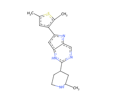 Cc1cc(-c2cc3[nH]c(C4CCNC(C)C4)ncc-3n2)c(C)s1